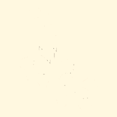 c1ccc(-c2nc(-c3ccc4sc5ccccc5c4c3)nc(-c3cccc4sc5ccc(-c6ccc7c(c6)C6(c8ccccc8-c8ccccc86)c6ccccc6-7)cc5c34)n2)cc1